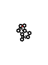 c1ccc(-c2ccc(-n3c4ccccc4c4cccc(-c5ccc6c(c5)c5ccccc5n6-c5ccccc5)c43)c(-c3ccccc3)c2)cc1